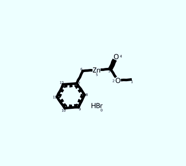 Br.CO[C](=O)[Zn][CH2]c1ccccc1